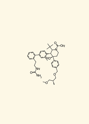 COC[C@H](C)COCc1ccc([C@@]2(O)CCN(C(=O)O)C(C(C)(C)C)[C@@H]2c2ccc(-c3ccccc3CCNC(N)=O)cc2C)cc1